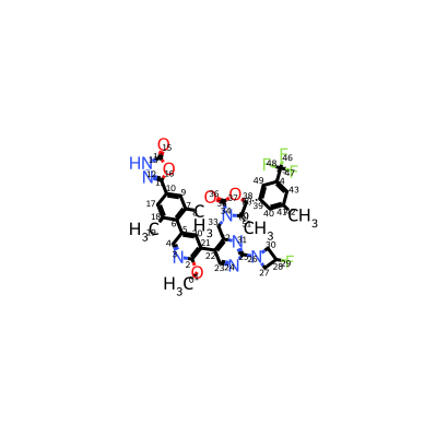 COc1ncc(-c2c(C)cc(-c3n[nH]c(=O)o3)cc2C)cc1-c1cnc(N2CC(F)C2)nc1CN1C(=O)O[C@H](c2cc(C)cc(C(F)(F)F)c2)[C@@H]1C